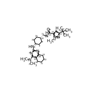 CN(C)c1nc(N[C@H]2CC[C@@H](CNC(=O)c3cc(C(C)(C)C)nn3C)CC2)nc2c1CCCC2